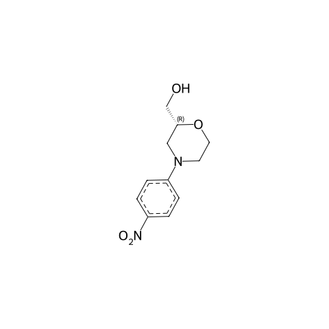 O=[N+]([O-])c1ccc(N2CCO[C@@H](CO)C2)cc1